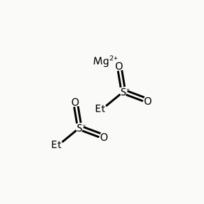 CC[S-](=O)=O.CC[S-](=O)=O.[Mg+2]